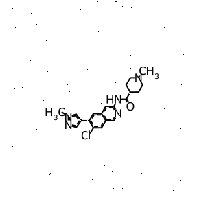 CN1CCC(C(=O)Nc2cc3cc(-c4cnn(C)c4)c(Cl)cc3cn2)CC1